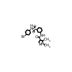 Cc1c(C(=O)Nc2cccc(S(=O)(=O)Nc3ccc(Br)cc3)c2)cnn1C